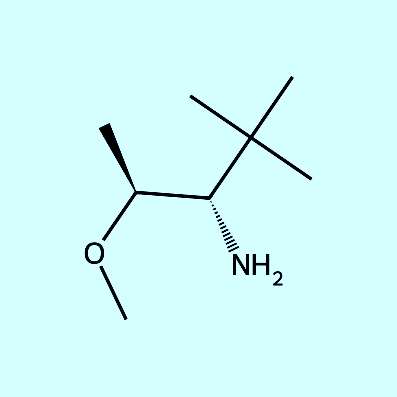 CO[C@@H](C)[C@@H](N)C(C)(C)C